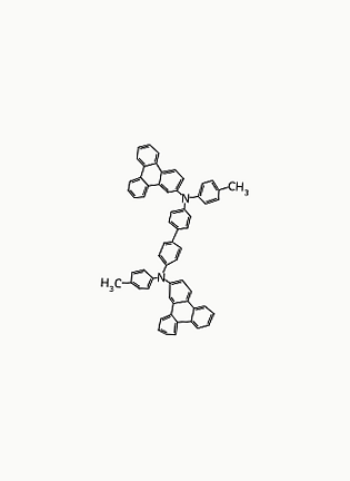 Cc1ccc(N(c2ccc(-c3ccc(N(c4ccc(C)cc4)c4ccc5c6ccccc6c6ccccc6c5c4)cc3)cc2)c2ccc3c4ccccc4c4ccccc4c3c2)cc1